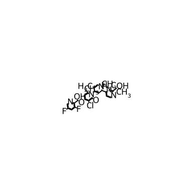 CC1=CN(C)C(c2ccnc(C(C)(C)O)n2)C=C1n1c(C)cc(OC(O)c2ncc(F)cc2F)c(Cl)c1=O